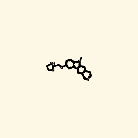 Cn1c2ccc(OCC3=NCCN3)cc2c2cc3cnccc3cc21